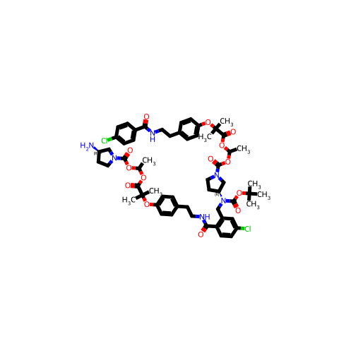 CC(OC(=O)N1CC[C@@H](N)C1)OC(=O)C(C)(C)Oc1ccc(CCNC(=O)c2ccc(Cl)cc2CN(C(=O)OC(C)(C)C)[C@@H]2CCN(C(=O)OC(C)OC(=O)C(C)(C)Oc3ccc(CCNC(=O)c4ccc(Cl)cc4)cc3)C2)cc1